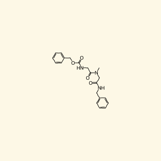 CN(CC(=O)NCc1ccccc1)C(=O)CNC(=O)OCc1ccccc1